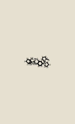 Cc1cc([N+]2(N3CCCC3C)CCCC2)ccc1NC(=O)[C@H]1CC2CC[C@H]1C2